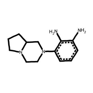 Nc1cccc(N2CCN3CCCC3C2)c1N